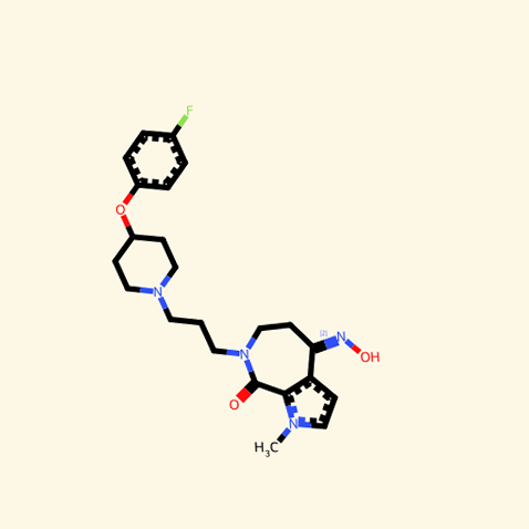 Cn1ccc2c1C(=O)N(CCCN1CCC(Oc3ccc(F)cc3)CC1)CC/C2=N/O